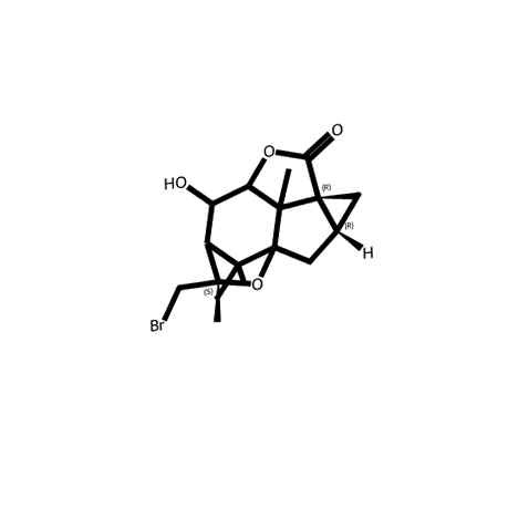 CC1(C)C2C(O)C3OC(=O)[C@]45C[C@@H]4CC1(O[C@]2(C)CBr)C35C